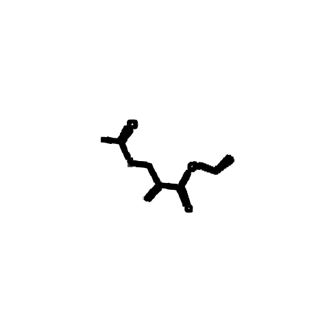 CCOC(=O)C(C)CSC(C)=O